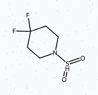 O=[SH](=O)N1CCC(F)(F)CC1